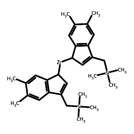 Cc1cc2c(cc1C)[CH]([Zr][CH]1C=C(C[Si](C)(C)C)c3cc(C)c(C)cc31)C=C2C[Si](C)(C)C